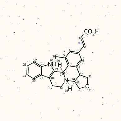 O=C(O)/C=C/c1cc(F)c2c(c1)C1COC[C@H]1N1CCc3c([nH]c4ccccc34)[C@@H]21